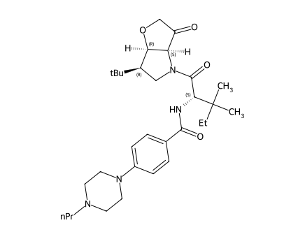 CCCN1CCN(c2ccc(C(=O)N[C@H](C(=O)N3C[C@@H](C(C)(C)C)[C@H]4OCC(=O)[C@H]43)C(C)(C)CC)cc2)CC1